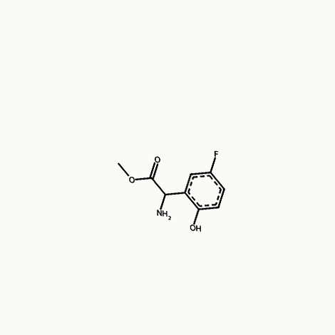 COC(=O)C(N)c1cc(F)ccc1O